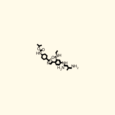 CCN[S+]([O-])c1cc(N/C(N)=C/C(C)=C\N)ccc1-c1cnc(C2CCC(NC(=O)OC(C)C)CC2)s1